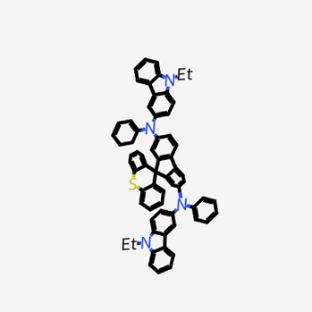 CCn1c2ccccc2c2cc(N(C3=CC=CCC3)c3ccc4c(c3)C3(c5ccccc5Sc5ccccc53)c3cc(N(c5ccccc5)c5ccc6c(c5)c5ccccc5n6CC)ccc3-4)ccc21